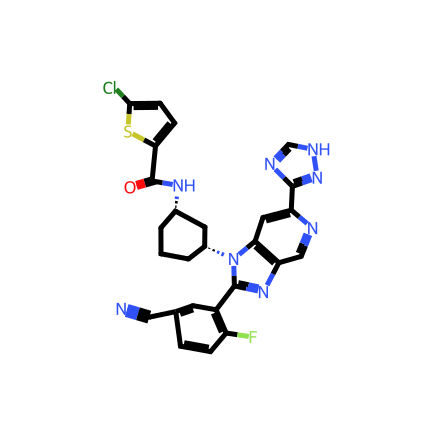 N#Cc1ccc(F)c(-c2nc3cnc(-c4nc[nH]n4)cc3n2[C@@H]2CCC[C@H](NC(=O)c3ccc(Cl)s3)C2)c1